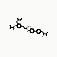 C=CC(=C)Oc1cc(CCC(=O)Oc2ccc(-c3ccc(OC(=O)C(C)C)cc3)cc2F)ccc1OC(=O)C(=C)C